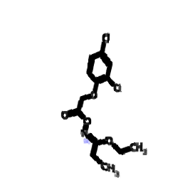 CCO/C(CC)=N\OC(=O)COc1ccc(Cl)cc1Cl